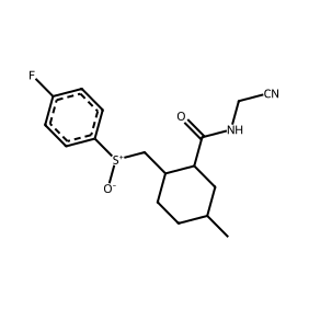 CC1CCC(C[S+]([O-])c2ccc(F)cc2)C(C(=O)NCC#N)C1